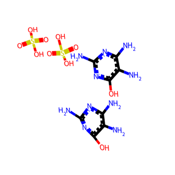 Nc1nc(N)c(N)c(O)n1.Nc1nc(N)c(N)c(O)n1.O=S(=O)(O)O.O=S(=O)(O)O